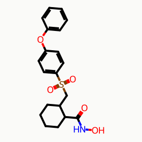 O=C(NO)C1CCCCC1CS(=O)(=O)c1ccc(Oc2ccccc2)cc1